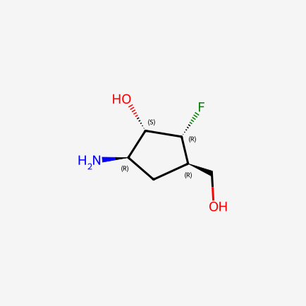 N[C@@H]1C[C@H](CO)[C@@H](F)[C@H]1O